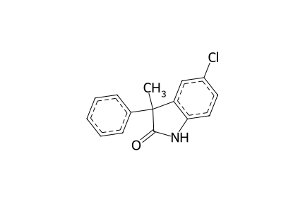 CC1(c2ccccc2)C(=O)Nc2ccc(Cl)cc21